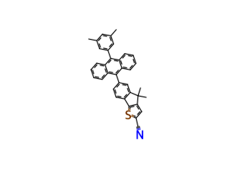 Cc1cc(C)cc(-c2c3ccccc3c(-c3ccc4c(c3)C(C)(C)c3cc(C#N)sc3-4)c3ccccc23)c1